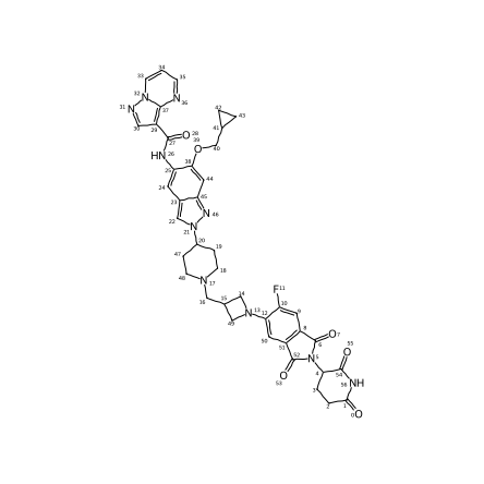 O=C1CCC(N2C(=O)c3cc(F)c(N4CC(CN5CCC(n6cc7cc(NC(=O)c8cnn9cccnc89)c(OCC8CC8)cc7n6)CC5)C4)cc3C2=O)C(=O)N1